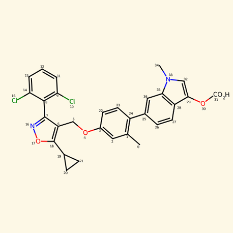 Cc1cc(OCc2c(-c3c(Cl)cccc3Cl)noc2C2CC2)ccc1-c1ccc2c(OC(=O)O)cn(C)c2c1